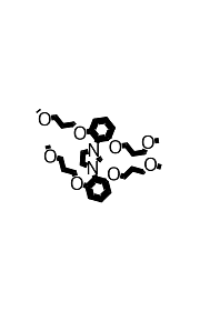 COCCCOc1cccc(OCCCOC)c1N1CCN(c2c(OCCCOC)cccc2OCCCOC)C1